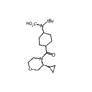 CC(C)(C)N(C(=O)O)C1CCC(C(=O)N2CCOC[C@@H]2C2CC2)CC1